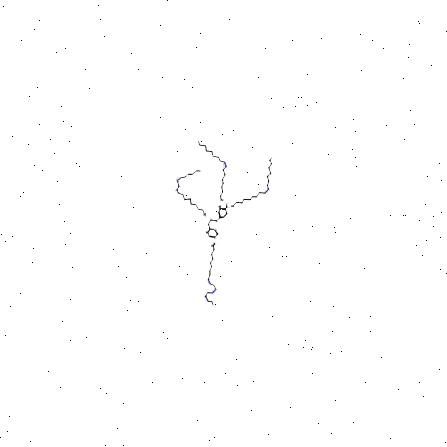 CC/C=C\C/C=C\C/C=C\CCCCCCCC(=O)Oc1cc(OC)c2c(c1)OC(c1ccc(OC(=O)CCCCCCC/C=C\CCCCCCCC)c(OC(=O)CCCCCCC/C=C\CCCCCCCC)c1)C(OC(=O)CCCCCCC/C=C\C/C=C\CCCCC)C2